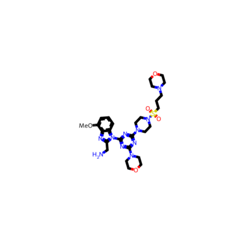 COc1cccc2c1nc(CN)n2-c1nc(N2CCOCC2)nc(N2CCN(S(=O)(=O)CCCN3CCOCC3)CC2)n1